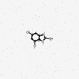 Sc1nc2cc(Cl)cc(Cl)c2o1